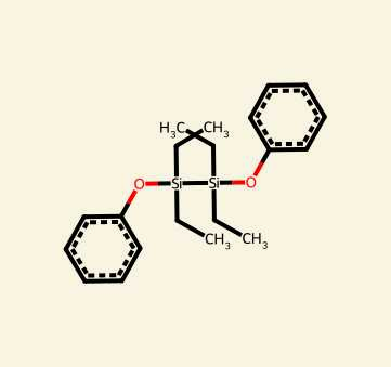 CC[Si](CC)(Oc1ccccc1)[Si](CC)(CC)Oc1ccccc1